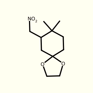 CC1(C)CCC2(CC1C[N+](=O)[O-])OCCO2